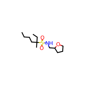 CCCCC(C)(CC)S(=O)(=O)NCC1CCCO1